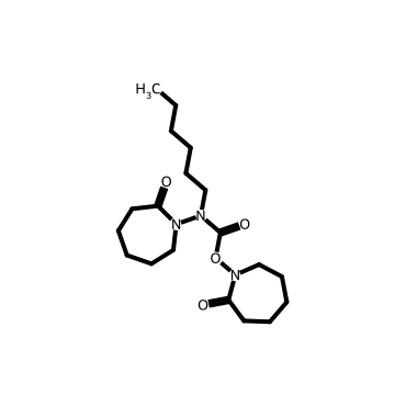 CCCCCCN(C(=O)ON1CCCCCC1=O)N1CCCCCC1=O